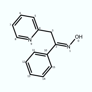 O/N=C(\Cc1ccccn1)c1ccccc1